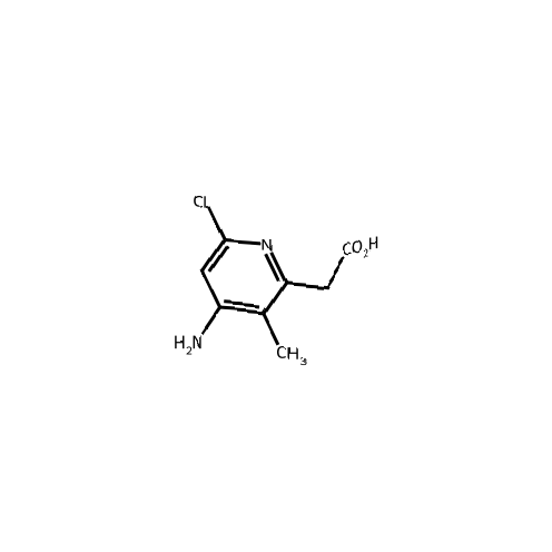 Cc1c(N)cc(Cl)nc1CC(=O)O